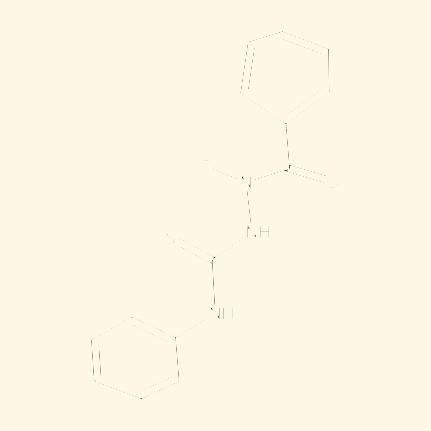 O=C(c1ccccc1)N(F)NC(=S)Nc1ccccc1